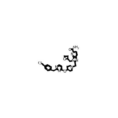 NC(=O)c1ccc2nc(CN3CCC(Oc4ccnc(Cc5ccc(Cl)cc5)n4)CC3)n(CC3CCO3)c2n1